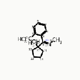 C/N=C(\c1ccccc1C)C1(O)CCCC1.Cl